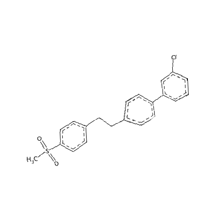 CS(=O)(=O)c1ccc(CCc2ccc(-c3cccc(Cl)c3)cc2)cc1